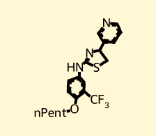 CCCCCOc1ccc(NC2=NC(c3cccnc3)CS2)cc1C(F)(F)F